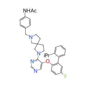 CC(=O)Nc1ccc(CN2CCC3(CCN(c4ncncc4Oc4ccc(F)cc4-c4ccccc4C(C)C)C3)C2)cc1